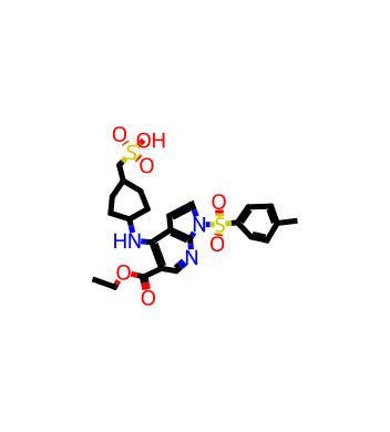 CCOC(=O)c1cnc2c(ccn2S(=O)(=O)c2ccc(C)cc2)c1NC1CCC(CS(=O)(=O)O)CC1